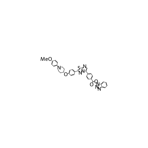 COc1ccc(N2CCC(Oc3ccc(-c4nn5c(-c6ccc(C(=O)On7nnc8ccccc87)cc6)cnc5s4)cc3)CC2)cc1